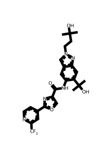 CC(C)(O)CCn1cc2cc(NC(=O)c3coc(-c4ccnc(C(F)(F)F)c4)n3)c(C(C)(C)O)cc2n1